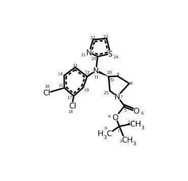 CC(C)(C)OC(=O)N1CC[C@H](N(c2ccc(Cl)c(Cl)c2)c2nccs2)C1